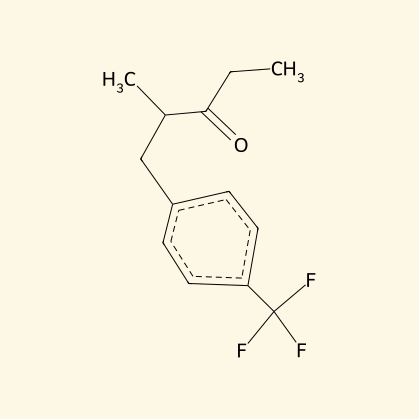 CCC(=O)C(C)Cc1ccc(C(F)(F)F)cc1